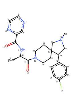 CC(C)[C@@H](NC(=O)c1cnccn1)C(=O)N1CCC2(CC1)CN(C)CC2c1ccc(F)cc1